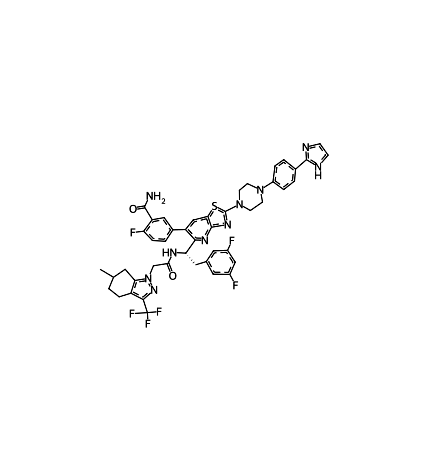 CC1CCc2c(C(F)(F)F)nn(CC(=O)N[C@@H](Cc3cc(F)cc(F)c3)c3nc4nc(N5CCN(c6ccc(-c7ncc[nH]7)cc6)CC5)sc4cc3-c3ccc(F)c(C(N)=O)c3)c2C1